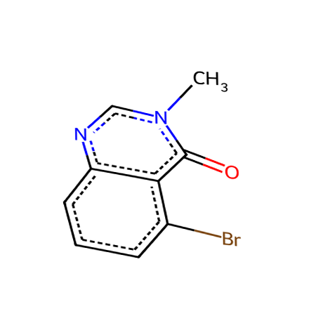 Cn1cnc2cccc(Br)c2c1=O